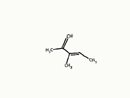 [CH]=C(C)C(C)=CC